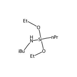 CCC[Si](NC(C)CC)(OCC)OCC